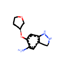 Nc1cc2c(cc1O[C@H]1CCOC1)NNC2